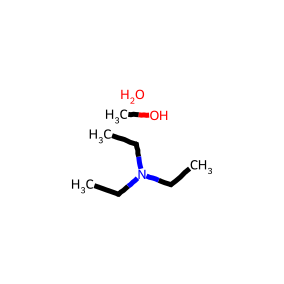 CCN(CC)CC.CO.O